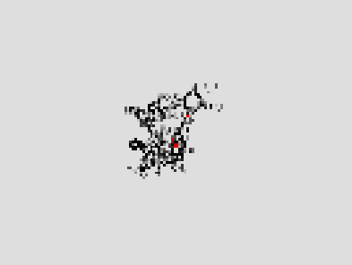 CSCC[C@H](NC(=O)[C@H](CC(C)C)NC(=O)[C@H](Cc1c[nH]cn1)NC(=O)CNC(=O)[C@H](C)NC(=O)[C@H](C)NC(=O)[C@H](Cc1c[nH]c2ccccc12)NC(=O)[C@H](CCC(N)=O)NC(=O)CC[C@@H](C)[C@H]1CC[C@H]2[C@@H]3[C@H](O)C[C@@H]4C[C@@H](NC(=O)CNC(=O)CN5CCN(CC(=O)O)CCN(CC(=O)O)CCN(CC(=O)O)CC5)CC[C@]4(C)[C@H]3C[C@H](O)[C@]12C)C(N)=O